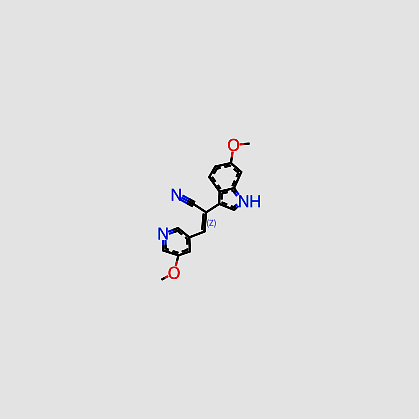 COc1cncc(/C=C(\C#N)c2c[nH]c3cc(OC)ccc23)c1